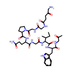 CCC(C)C(NC(=O)CNC(=O)C(CCC(N)=O)NC(=O)C1CCCN1C(=O)CNC(=O)CNC(=O)CCC(=O)CN)C(=O)NC(Cc1c[nH]c2ccccc12)C(=O)NCC(C)=O